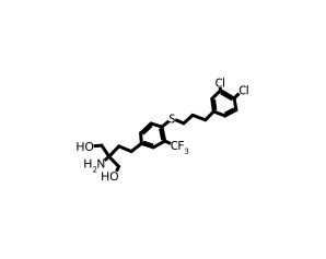 NC(CO)(CO)CCc1ccc(SCCCc2ccc(Cl)c(Cl)c2)c(C(F)(F)F)c1